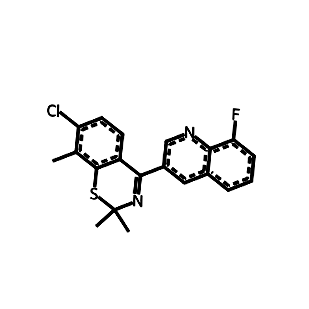 Cc1c(Cl)ccc2c1SC(C)(C)N=C2c1cnc2c(F)cccc2c1